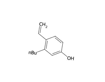 C=Cc1ccc(O)cc1CCCC